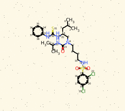 CC(C)C[C@@H](CN(CCCCNS(=O)(=O)c1ccc(Cl)cc1Cl)C(=O)NC(C)C)NC(=S)Nc1ccccc1